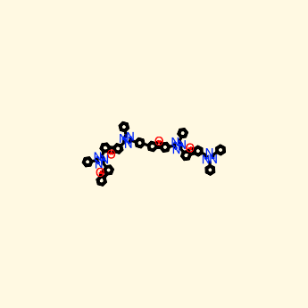 c1ccc(-c2nc(-c3ccccc3)nc(-c3ccc4oc5c(-c6nc(-c7ccccc7)nc(-c7ccc8c(c7)oc7cc(-c9ccc(-c%10nc(-c%11ccccc%11)nc(-c%11ccc%12oc%13c(-c%14nc(-c%15ccccc%15)nc(-c%15cccc%16c%15oc%15ccccc%15%16)n%14)cccc%13c%12c%11)n%10)cc9)ccc78)n6)cccc5c4c3)n2)cc1